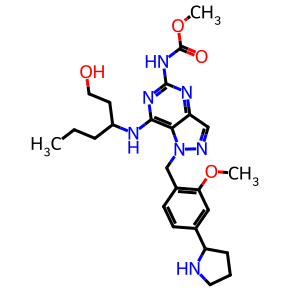 CCCC(CCO)Nc1nc(NC(=O)OC)nc2cnn(Cc3ccc(C4CCCN4)cc3OC)c12